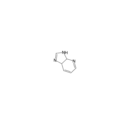 C1=CC2N=CNC2N=C1